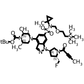 CC#CC(=O)N1C[C@H](n2ncc3c(N4C[C@H](C)N(C(=O)OC(C)(C)C)[C@@H](C)C4)cc(S(=O)(=O)N(COCC[Si](C)(C)C)C4(C)CC4)cc32)C[C@H]1CF